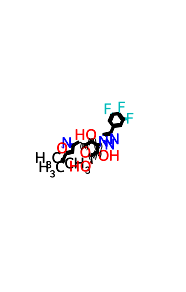 CC(C)(C)c1cc(C[C@H]2O[C@H](CO)[C@H](O)[C@H](n3cc(-c4cc(F)c(F)c(F)c4)nn3)[C@H]2O)no1